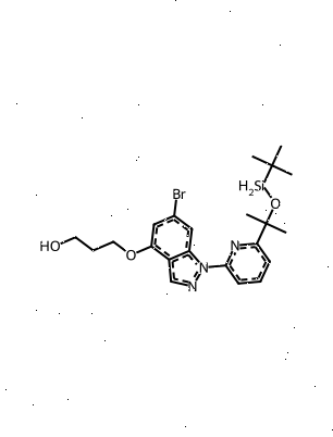 CC(C)(C)[SiH2]OC(C)(C)c1cccc(-n2ncc3c(OCCCO)cc(Br)cc32)n1